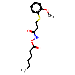 CCCCCC(=O)ONC(=O)CCSc1ccccc1OC